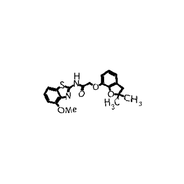 COc1cccc2sc(NC(=O)COc3cccc4c3OC(C)(C)C4)nc12